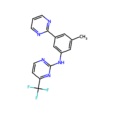 Cc1cc(Nc2nccc(C(F)(F)F)n2)cc(-c2ncccn2)c1